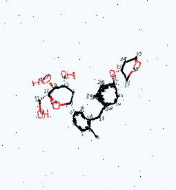 Cc1ccc([C@H]2C[C@@H](O)[C@H](O)[C@@H](CO)O2)cc1Cc1ccc(O[C@@H]2CCOC2)cc1